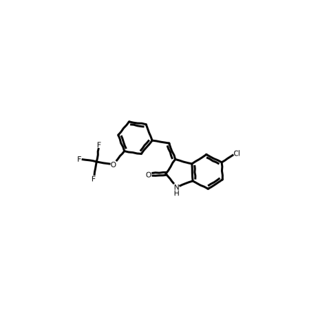 O=C1Nc2ccc(Cl)cc2C1=Cc1cccc(OC(F)(F)F)c1